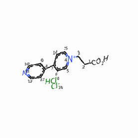 Cl.O=C(O)CC[n+]1ccc(-c2ccncc2)cc1.[Cl-]